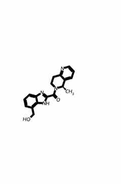 C[C@@H]1c2cccnc2CCN1C(=O)c1nc2cccc(CO)c2[nH]1